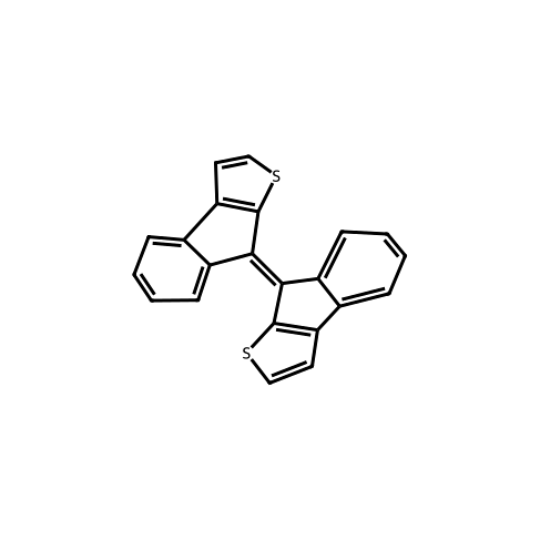 c1ccc2c(c1)/C(=C1/c3ccccc3-c3ccsc31)c1sccc1-2